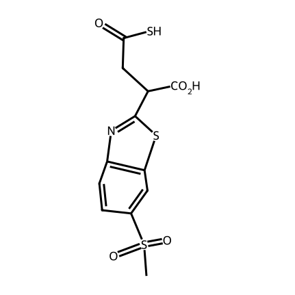 CS(=O)(=O)c1ccc2nc(C(CC(=O)S)C(=O)O)sc2c1